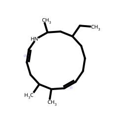 CCC1CCC/C=C\C(C)C(C)C/C=C\NC(C)C1